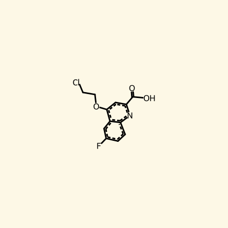 O=C(O)c1cc(OCCCl)c2cc(F)ccc2n1